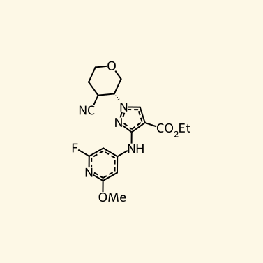 CCOC(=O)c1cn([C@H]2COCCC2C#N)nc1Nc1cc(F)nc(OC)c1